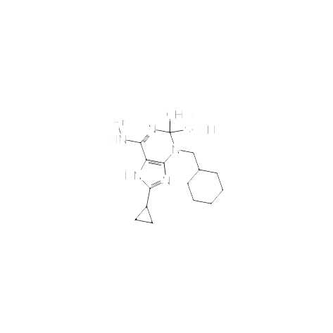 CCNC1=NC(C=O)(S(=O)(=O)O)N(CC2CCCCC2)c2nc(C3CC3)[nH]c21